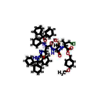 COc1ccc(COC(=O)C2=C(CCl)C[S+]([O-])[C@@H]3C(NC(=O)/C(=N\OC(c4ccccc4)(c4ccccc4)c4ccccc4)c4csc(NC(c5ccccc5)(c5ccccc5)c5ccccc5)n4)C(=O)N23)cc1